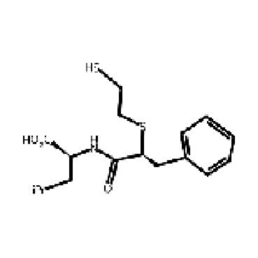 CC(C)C[C@H](NC(=O)[C@H](Cc1ccccc1)SCCS)C(=O)O